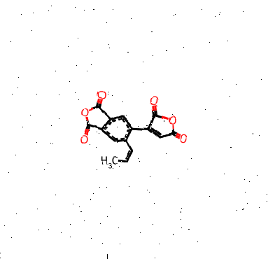 C/C=C\c1cc2c(cc1C1=CC(=O)OC1=O)C(=O)OC2=O